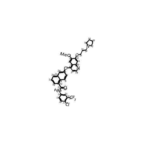 COc1cc2c(Oc3ccc4c(C(=O)Nc5ccc(Cl)c(C(F)(F)F)c5)cccc4c3)ccnc2cc1OCCCN1CCCC1